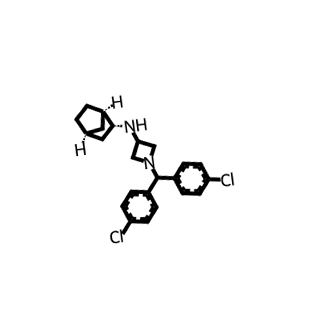 Clc1ccc(C(c2ccc(Cl)cc2)N2CC(N[C@@H]3C[C@H]4CC[C@@H]3C4)C2)cc1